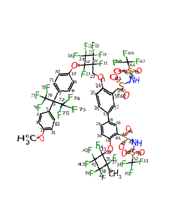 COc1ccc(C(c2ccc(OC3(F)C(F)(F)C(F)(F)C3(F)COc3ccc(-c4ccc(OC5(F)C(C)(F)C(F)(F)C5(F)F)c(S(=O)(=O)NS(=O)(=O)C(F)(F)F)c4)cc3S(=O)(=O)NS(=O)(=O)C(F)(F)F)cc2)(C(F)(F)F)C(F)(F)F)cc1